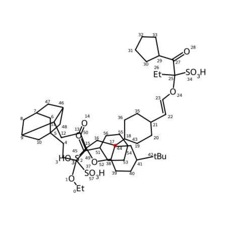 CCOC(CCC12CC3CC(C1)C(CC(=O)C(CCC1CCC(/C=C/OC(CC)(C(=O)C4CCCC4)S(=O)(=O)O)CC1)(OC1CCC(C(C)(C)C)CC1)S(=O)(=O)O)C(C3)C2)(C(=O)C1CCCCC1)S(=O)(=O)O